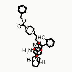 Nc1nnc(-c2ccccc2O)cc1N1C[C@H]2CC[C@@H](C1)N2c1ccc(OCCN2CCN(C(=O)OCc3ccccc3)CC2)cc1